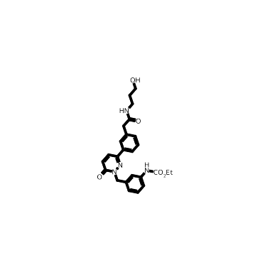 CCOC(=O)Nc1cccc(Cn2nc(-c3cccc(CC(=O)NCCCO)c3)ccc2=O)c1